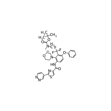 CN(C[C@@H]1CN(c2c(NC(=O)c3csc(-c4ccnnc4)n3)ccc(Oc3ccccc3)c2C(F)(F)F)CCO1)C(=O)OC(C)(C)C